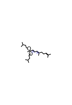 CC(C)=CCC/C(C)=C/C=C/C(C)(OCCC(C)C)OCCC(C)C